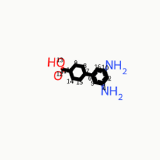 Nc1cc(N)cc(C2CCC(C(=O)O)CC2)c1